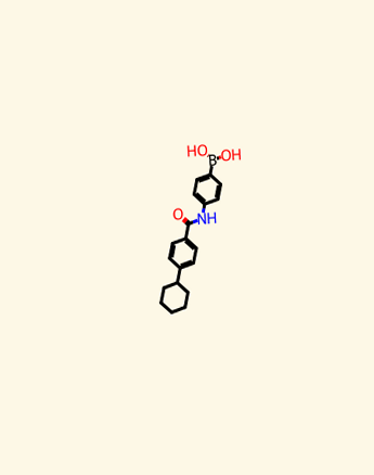 O=C(Nc1ccc(B(O)O)cc1)c1ccc(C2CCCCC2)cc1